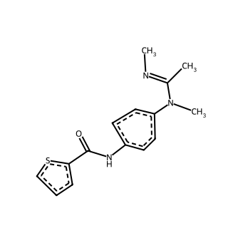 CN=C(C)N(C)c1ccc(NC(=O)c2cccs2)cc1